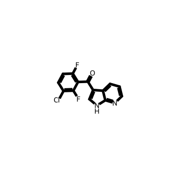 O=C(c1c(F)ccc(Cl)c1F)c1c[nH]c2ncccc12